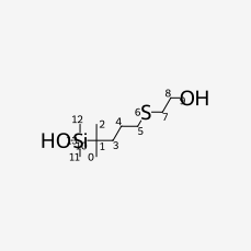 CC(C)(CCCSCCO)[Si](C)(C)O